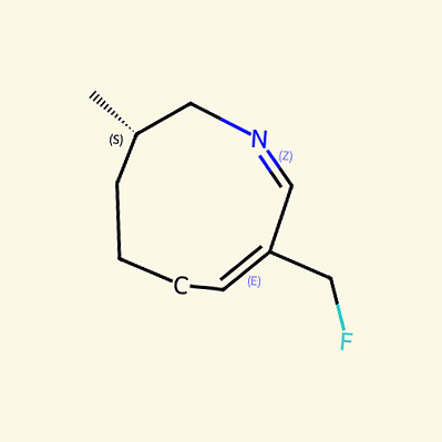 C[C@H]1CCC/C=C(CF)\C=N/C1